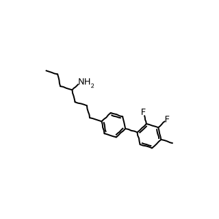 CCCC(N)CCCc1ccc(-c2ccc(C)c(F)c2F)cc1